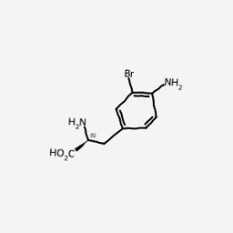 Nc1ccc(C[C@H](N)C(=O)O)cc1Br